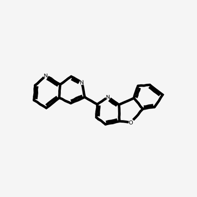 c1cnc2cnc(-c3ccc4oc5ccccc5c4n3)cc2c1